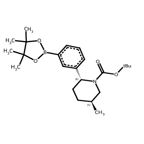 C[C@H]1CC[C@H](c2cccc(B3OC(C)(C)C(C)(C)O3)c2)N(C(=O)OC(C)(C)C)C1